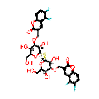 O=c1oc2ccc(F)c(F)c2cc1COC1[C@@H](O)C(CO)O[C@@H](S[C@@H]2OC(CO)[C@H](O)C(OCc3cc4c(F)c(F)ccc4oc3=O)[C@@H]2O)[C@@H]1O